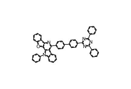 c1ccc(-c2nc(-c3ccccc3)nc(-c3ccc(-c4ccc(-c5nc6c7ccccc7oc6c6c5c5ccccc5n6-c5ccccc5)cc4)cc3)n2)cc1